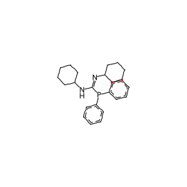 c1ccc(P(/C(=N\C2CCCCC2)NC2CCCCC2)c2ccccc2)cc1